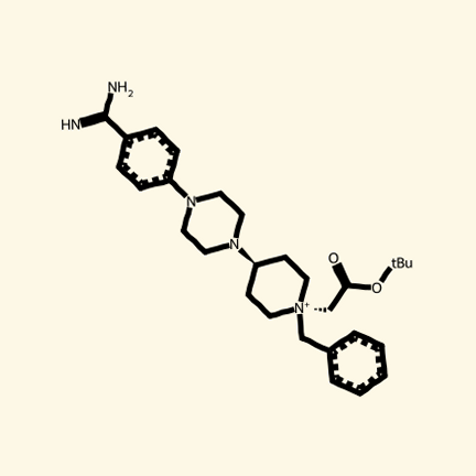 CC(C)(C)OC(=O)C[N@+]1(Cc2ccccc2)CC[C@@H](N2CCN(c3ccc(C(=N)N)cc3)CC2)CC1